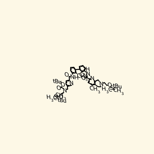 Cc1cc(C(=O)Nc2cccc(-c3cccc(NC(=O)c4ccc(CN(CCO[Si](C)(C)C(C)(C)C)C(=O)OC(C)(C)C)cn4)c3C)c2C#N)nc2c1CCN(CCO[Si](C)(C)C(C)(C)C)C2